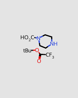 CC(C)(C)OC(=O)C(F)(F)F.O=C(O)N1CCNCC1